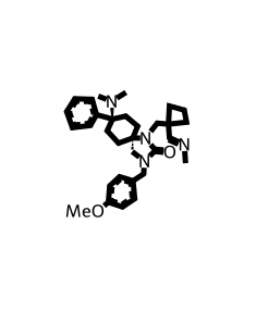 C/N=C/C1(CN2C(=O)N(Cc3ccc(OC)cc3)C[C@]23CC[C@](c2ccccc2)(N(C)C)CC3)CCC1